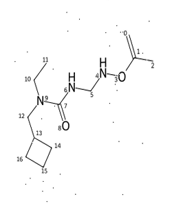 C=C(C)ONCNC(=O)N(CC)CC1CCC1